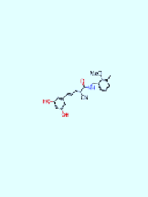 COc1c(C)cccc1CNC(=O)/C(C#N)=C/C=C/c1cc(O)cc(O)c1